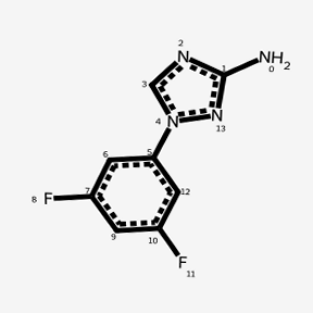 Nc1ncn(-c2cc(F)cc(F)c2)n1